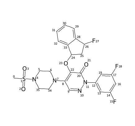 CS(=O)(=O)N1CCN(c2cnn(-c3cc(F)cc(F)c3)c(=O)c2OC2CC(F)c3ccccc32)CC1